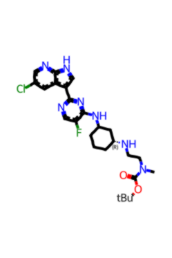 CN(CCN[C@@H]1CCCC(Nc2nc(-c3c[nH]c4ncc(Cl)cc34)ncc2F)C1)C(=O)OC(C)(C)C